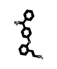 C=C(c1ccccc1)c1ccc(Oc2ccccc2C=CC)cc1